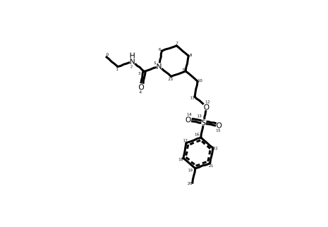 CCNC(=O)N1CCCC(CCOS(=O)(=O)c2ccc(C)cc2)C1